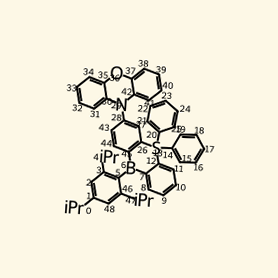 CC(C)c1cc(C(C)C)c(B2c3ccccc3S(c3ccccc3)(c3ccccc3)c3cc(N4c5ccccc5Oc5ccccc54)ccc32)c(C(C)C)c1